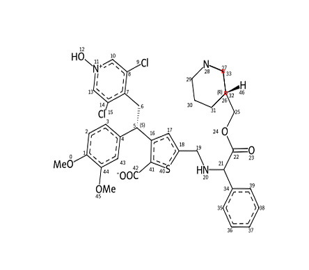 COc1ccc([C@H](Cc2c(Cl)c[n+](O)cc2Cl)c2cc(CNC(C(=O)OC[C@H]3CN4CCC3CC4)c3ccccc3)sc2C(=O)[O-])cc1OC